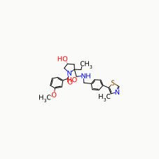 CCC1(C(O)NCc2ccc(-c3scnc3C)cc2)C[C@@H](O)CN1C(=O)c1cccc(OC)c1